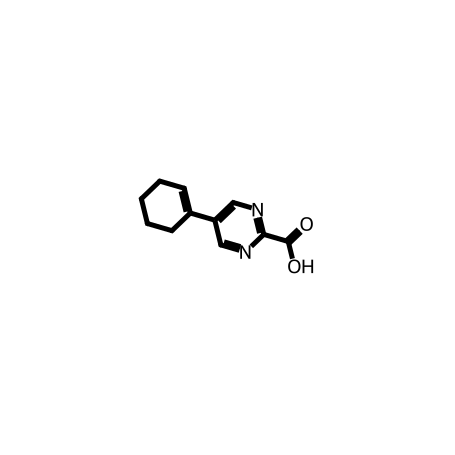 O=C(O)c1ncc(C2=CCCCC2)cn1